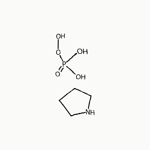 C1CCNC1.O=P(O)(O)OO